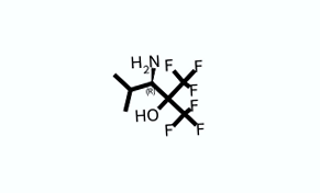 CC(C)[C@@H](N)C(O)(C(F)(F)F)C(F)(F)F